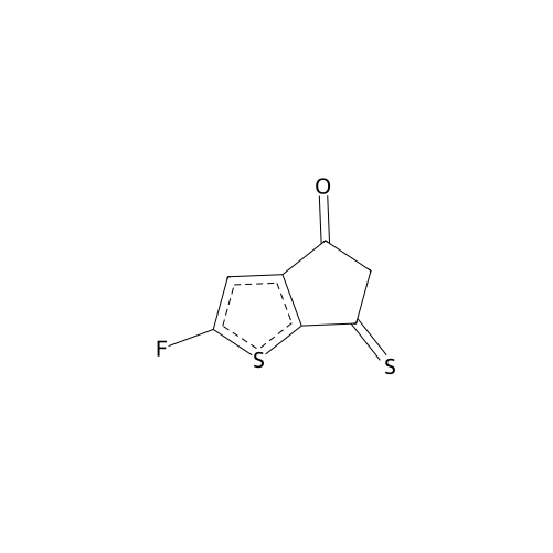 O=C1CC(=S)c2sc(F)cc21